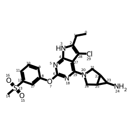 CCc1[nH]c2nc(Oc3cccc(S(C)(=O)=O)c3)nc(N3CC4C(N)C4C3)c2c1Cl